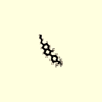 C=CCCc1ccc2c(F)c(-c3ccc(C(F)(F)F)cc3)ccc2c1